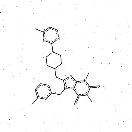 Cc1cccc(Cn2c(OC3CCN(c4nccc(C)n4)CC3)nc3c2c(=O)n(C)c(=O)n3C)c1